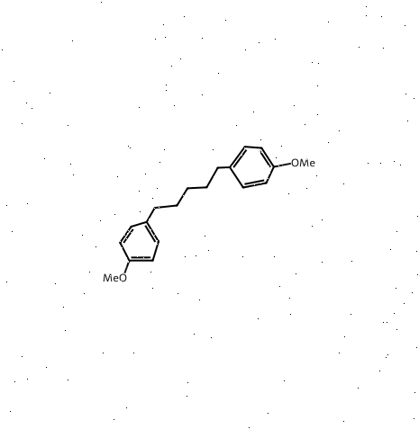 COc1ccc(CCCCCc2ccc(OC)cc2)cc1